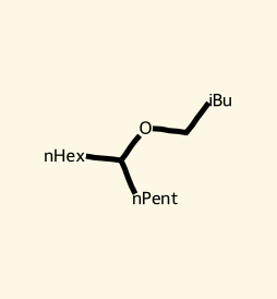 CCCCCCC(CCCCC)OCC(C)CC